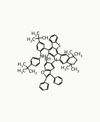 CC(C)(C)c1ccc(Nc2ccc(C(C)(C)C)cc2-c2c3c4c(c5cc6c(cc5n4-c4cc5c(-c7ccccc7)c(-c7ccccc7)oc5cc4B3)C(C)(C)CCC6(C)C)c3sc4ccccc4c23)cc1